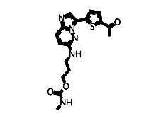 CNC(=O)OCCCNc1ccc2ncc(-c3ccc(C(C)=O)s3)n2n1